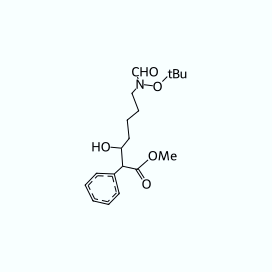 COC(=O)C(c1ccccc1)C(O)CCCCN(C=O)OC(C)(C)C